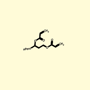 C=CC(=O)OCCC(CCCCC)OC(=O)C=C